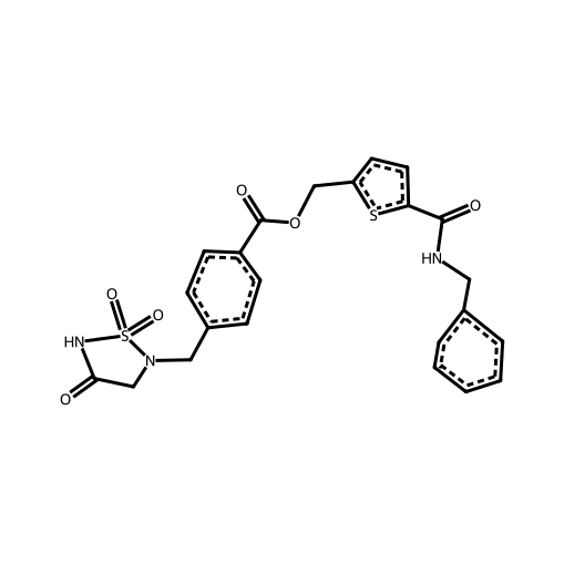 O=C1CN(Cc2ccc(C(=O)OCc3ccc(C(=O)NCc4ccccc4)s3)cc2)S(=O)(=O)N1